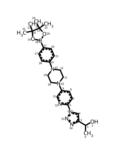 CC(O)c1cn(-c2ccc(N3CCN(c4ccc(B5OC(C)(C)C(C)(C)O5)cc4)CC3)cn2)nn1